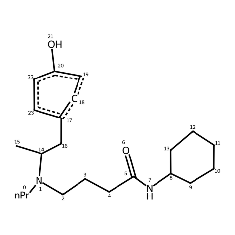 CCCN(CCCC(=O)NC1CCCCC1)C(C)Cc1ccc(O)cc1